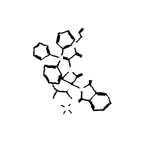 C=CCOC(=O)C(N1C[C@@](C(O[Si](C)(C)C(C)(C)C)C(O)CC)(N2C(=O)c3ccccc3C2=O)C1=O)=P(c1ccccc1)(c1ccccc1)c1ccccc1